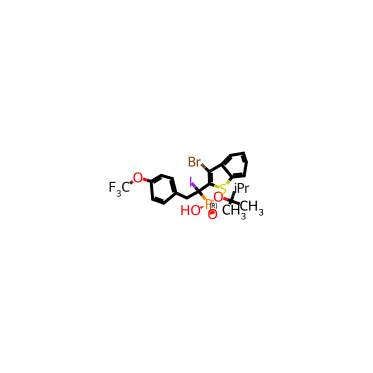 CC(C)C(C)(C)O[P@](=O)(O)C(I)(Cc1ccc(OC(F)(F)F)cc1)c1sc2ccccc2c1Br